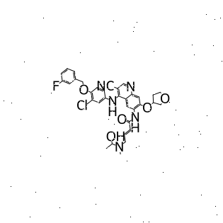 CC(O)N(C)C/C=C/C(=O)Nc1cc2c(Nc3ccc(OCc4cccc(F)c4)c(Cl)c3)c(C#N)cnc2cc1OC1CCOC1